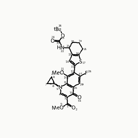 COC(=O)c1cn(C2CC2)c2c(OC)c(-c3cc4c(s3)CCCC4NC(=O)OC(C)(C)C)c(F)cc2c1=O